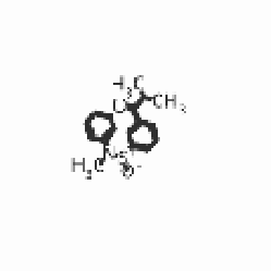 CC(C)C(=O)c1cccc([S+]([O-])N(C)c2ccccc2)c1